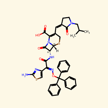 CC(C)CN1CCC(=CC2=C(C(=O)O)N3C(=O)[C@@H](NC(=O)C(=NOC(c4ccccc4)(c4ccccc4)c4ccccc4)c4csc(N)n4)[C@H]3SC2)C1=O